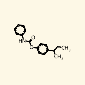 CCC(C)c1ccc(OC(=O)Nc2ccccc2)cc1